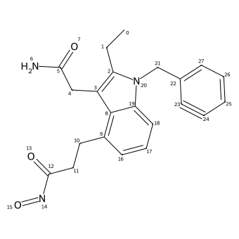 CCc1c(CC(N)=O)c2c(CCC(=O)N=O)cccc2n1Cc1c#cccc1